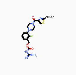 CC(=O)Nc1nc(C(=O)N2CCN(c3cccc(COC(=O)NC(=N)N)c3F)CC2)cs1